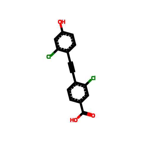 O=C(O)c1ccc(C#Cc2ccc(O)cc2Cl)c(Cl)c1